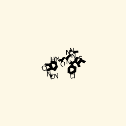 Cc1sc2c(c1C)C(c1ccc(Cl)cc1)=N[C@@H](CC(=O)Nc1ccc3c(c1)CO/C3=N/C#N)c1nnc(C)n1-2